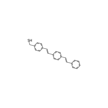 SCc1ccc(/C=C/c2ccc(/C=C/c3ccccc3)cc2)cc1